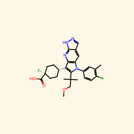 COCC(C)(C)c1c([C@H]2CC[C@](F)(C(=O)O)CC2)c2nc3[nH]ncc3cc2n1-c1ccc(F)c(C)c1